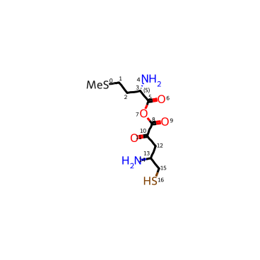 CSCC[C@H](N)C(=O)OC(=O)C(=O)CC(N)CS